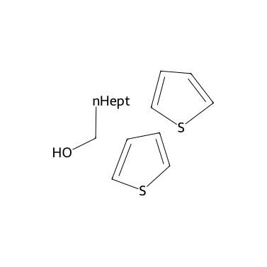 CCCCCCCCO.c1ccsc1.c1ccsc1